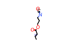 C/C=C/C(=O)OCCCN=C=O